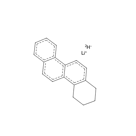 [2H-].[Li+].c1ccc2c(c1)ccc1c3c(ccc12)CCCC3